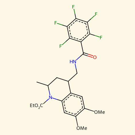 CCOC(=O)N1c2cc(OC)c(OC)cc2C(CNC(=O)c2c(F)c(F)c(F)c(F)c2F)CC1C